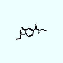 CCNC(=O)c1ccn2c(CC)cnc2c1